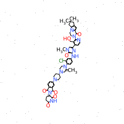 C[C@H]1CN(C2CCN(c3ccc4c(c3)C(=O)N([C@H]3CCC(=O)NC3=O)C4=O)CC2)CCN1c1ccc(Nc2nc(-c3ccnc(N4CCn5c(cc6c5CC(C)(C)C6)C4=O)c3CO)cn(C)c2=O)cc1Cl